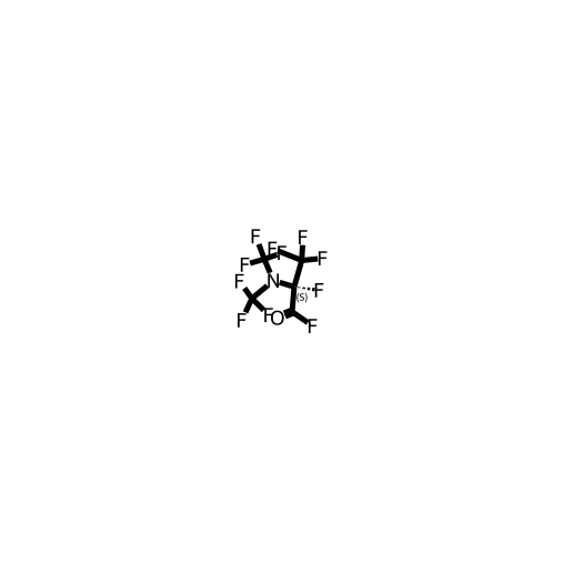 O=C(F)[C@@](F)(N(C(F)(F)F)C(F)(F)F)C(F)(F)F